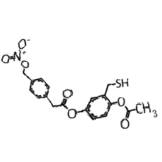 CC(=O)Oc1ccc(OC(=O)Cc2ccc(CO[N+](=O)[O-])cc2)cc1CS